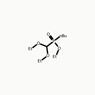 CCCCP(=O)(OCC)C(OCC)OCC